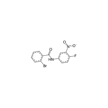 O=C(Nc1ccc(F)c([N+](=O)[O-])c1)c1ccccc1Br